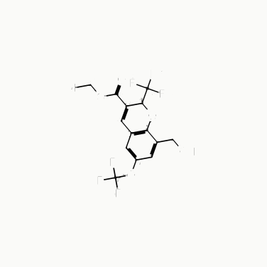 CCc1cc(OC(F)(F)F)cc2c1OC(C(F)(F)F)C(C(=O)OCI)=C2